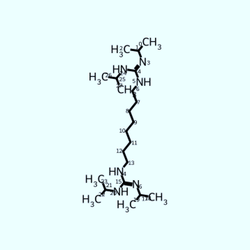 CC(C)N=C(NCCCCCCCCNC(=NC(C)C)NC(C)C)NC(C)C